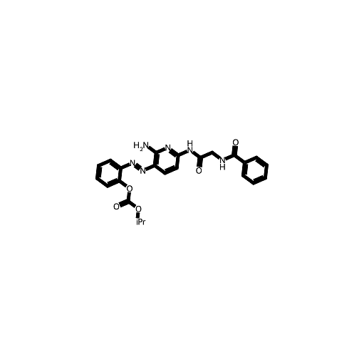 CC(C)OC(=O)Oc1ccccc1/N=N/c1ccc(NC(=O)CNC(=O)c2ccccc2)nc1N